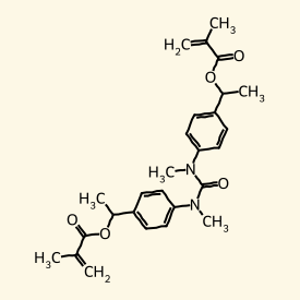 C=C(C)C(=O)OC(C)c1ccc(N(C)C(=O)N(C)c2ccc(C(C)OC(=O)C(=C)C)cc2)cc1